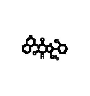 Cc1c(-c2ccccc2Cl)sc2c(=O)n(-c3cncc4ccccc34)c(=O)[nH]c12